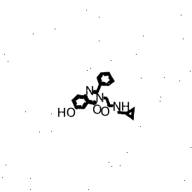 O=C(Cn1c(-c2ccccc2)nc2ccc(O)cc2c1=O)NCC1CC1